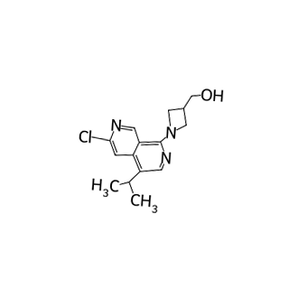 CC(C)c1cnc(N2CC(CO)C2)c2cnc(Cl)cc12